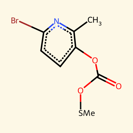 CSOC(=O)Oc1ccc(Br)nc1C